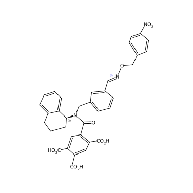 O=C(O)c1cc(C(=O)O)c(C(=O)N(Cc2cccc(/C=N/OCc3ccc([N+](=O)[O-])cc3)c2)[C@H]2CCCc3ccccc32)cc1C(=O)O